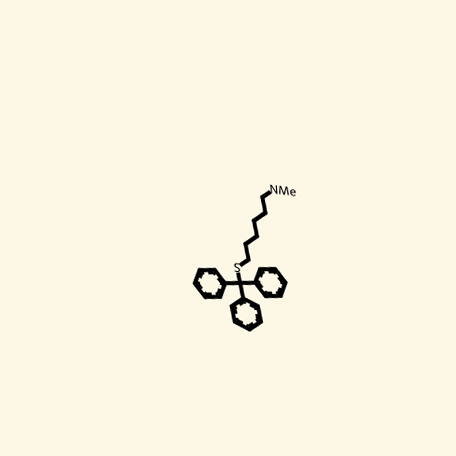 CNCCCCCCSC(c1ccccc1)(c1ccccc1)c1ccccc1